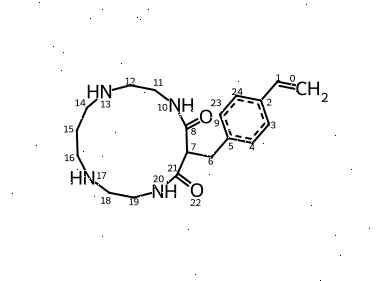 C=Cc1ccc(CC2C(=O)NCCNCCCNCCNC2=O)cc1